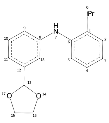 CC(C)c1ccccc1Nc1cccc(C2OCCO2)c1